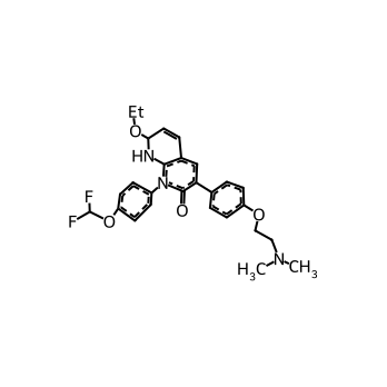 CCOC1C=Cc2cc(-c3ccc(OCCN(C)C)cc3)c(=O)n(-c3ccc(OC(F)F)cc3)c2N1